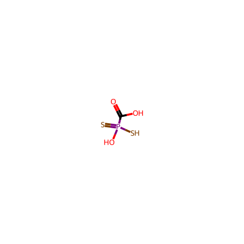 O=C(O)P(O)(=S)S